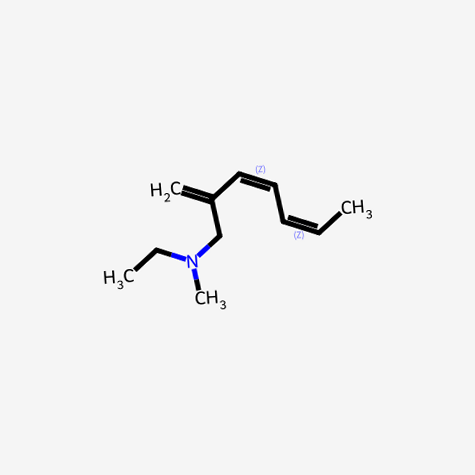 C=C(/C=C\C=C/C)CN(C)CC